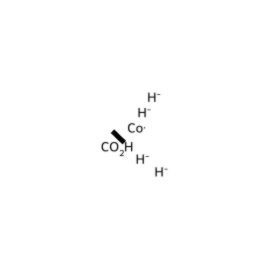 CC(=O)O.[Co].[H-].[H-].[H-].[H-]